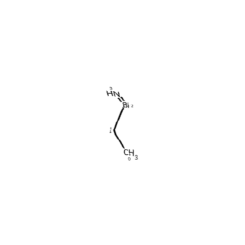 C[CH2][Bi]=[NH]